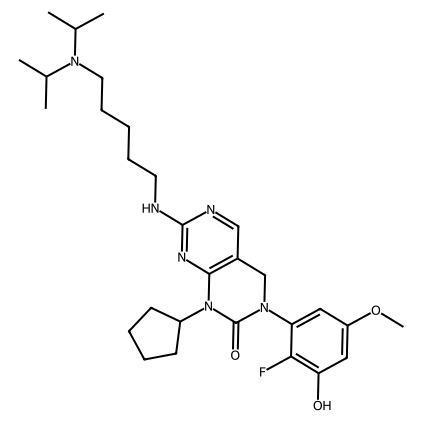 COc1cc(O)c(F)c(N2Cc3cnc(NCCCCCN(C(C)C)C(C)C)nc3N(C3CCCC3)C2=O)c1